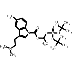 Cc1ccc2c(c1)c(CCN(C)C)cn2C(=O)OC(C)OP(=O)(OC(C)(C)C)OC(C)(C)C